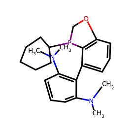 CN(C)c1cccc(N(C)C)c1-c1cccc2c1P(C1CCCCC1)CO2